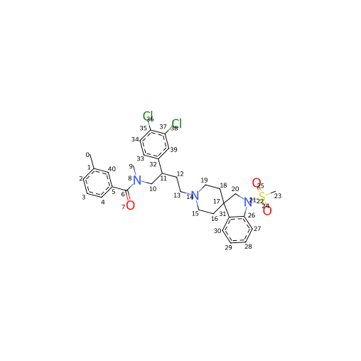 Cc1cccc(C(=O)N(C)CC(CCN2CCC3(CC2)CN(S(C)(=O)=O)c2ccccc23)c2ccc(Cl)c(Cl)c2)c1